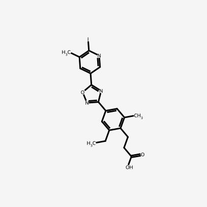 CCc1cc(-c2noc(-c3cnc(I)c(C)c3)n2)cc(C)c1CCC(=O)O